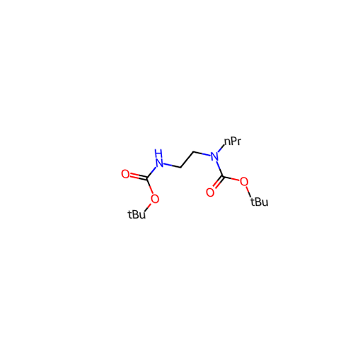 [CH2]CCN(CCNC(=O)OC(C)(C)C)C(=O)OC(C)(C)C